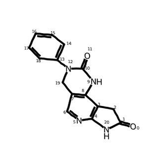 O=C1Cc2c(ncc3c2NC(=O)N(c2ccccc2)C3)N1